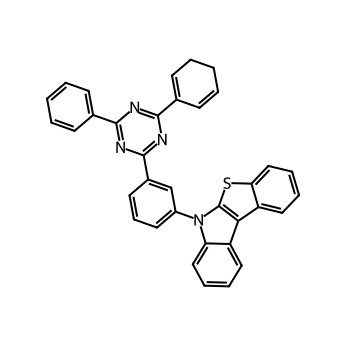 C1=CC(c2nc(-c3ccccc3)nc(-c3cccc(-n4c5ccccc5c5c6ccccc6sc54)c3)n2)=CCC1